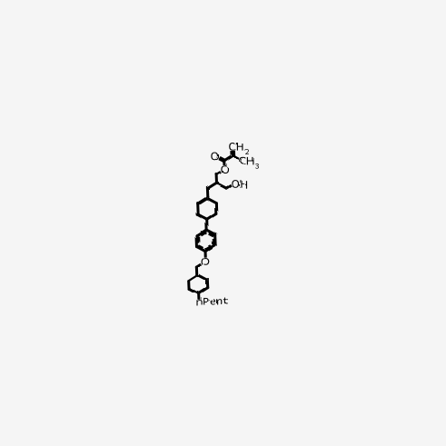 C=C(C)C(=O)OCC(CO)CC1CCC(c2ccc(OCC3CCC(CCCCC)CC3)cc2)CC1